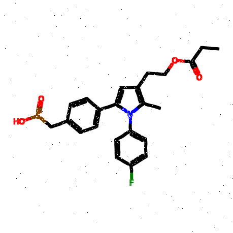 CCC(=O)OCCc1cc(-c2ccc(CS(=O)O)cc2)n(-c2ccc(F)cc2)c1C